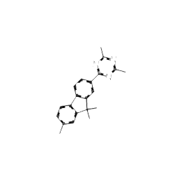 Cc1ccc2c(c1)C(C)(C)c1cc(-c3nc(C)nc(C)n3)ccc1-2